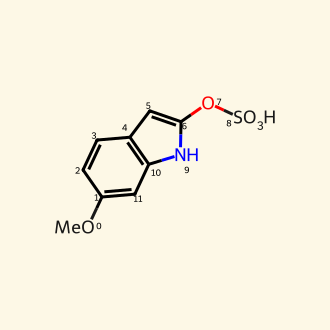 COc1ccc2cc(OS(=O)(=O)O)[nH]c2c1